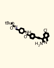 CC(C)(C)OC(=O)/N=C/C1CCC(NC(=O)c2ccc(C#Cc3c(N)ncc4ccc(Cl)cc34)cc2)CC1